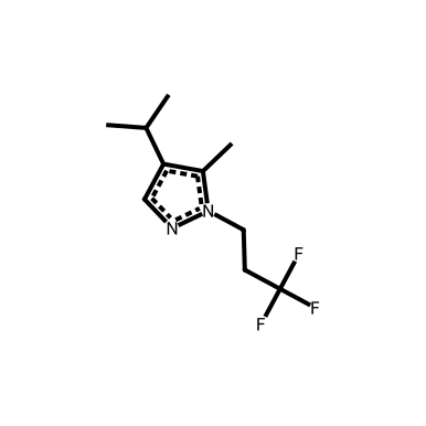 Cc1c(C(C)C)cnn1CCC(F)(F)F